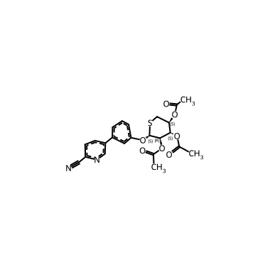 CC(=O)O[C@@H]1[C@@H](OC(C)=O)[C@@H](Oc2cccc(-c3ccc(C#N)nc3)c2)SC[C@H]1OC(C)=O